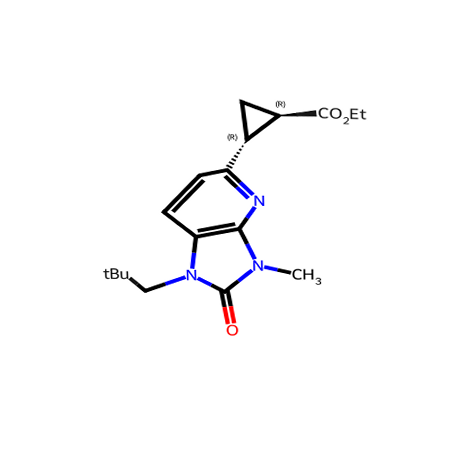 CCOC(=O)[C@@H]1C[C@H]1c1ccc2c(n1)n(C)c(=O)n2CC(C)(C)C